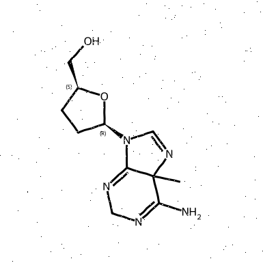 CC12N=CN([C@H]3CC[C@@H](CO)O3)C1=NCN=C2N